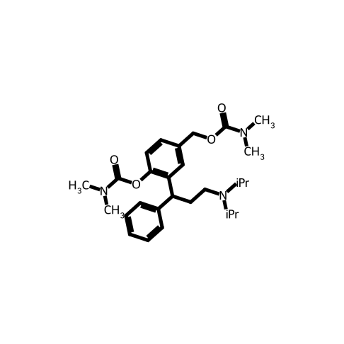 CC(C)N(CCC(c1ccccc1)c1cc(COC(=O)N(C)C)ccc1OC(=O)N(C)C)C(C)C